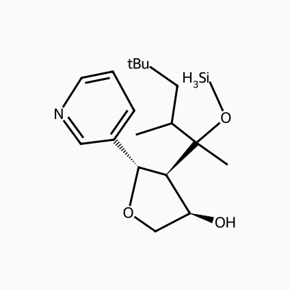 CC(CC(C)(C)C)C(C)(O[SiH3])[C@@H]1[C@@H](c2cccnc2)OC[C@@H]1O